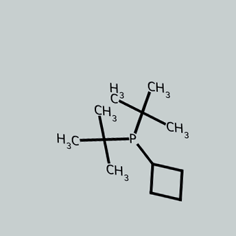 CC(C)(C)P(C1CCC1)C(C)(C)C